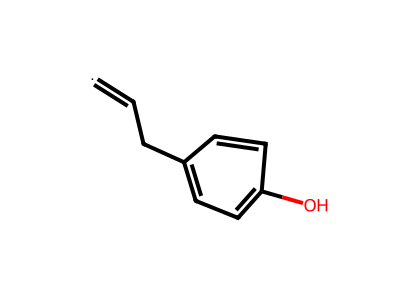 [CH]=CCc1ccc(O)cc1